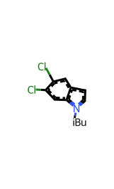 C[CH]C(C)n1ccc2cc(Cl)c(Cl)cc21